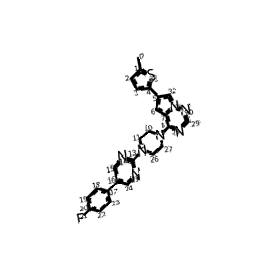 Cc1ccc(-c2cc3c(N4CCN(c5ncc(-c6ccc(F)cc6)cn5)CC4)ncnn3c2)s1